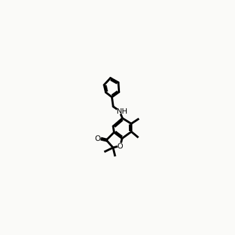 Cc1c(NCc2ccccc2)cc2c(c1C)OC(C)(C)C2=O